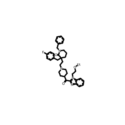 CCOCCn1c(C(=O)C2CCN(CCC3(Cc4ccc(F)cc4)CCCN(Cc4ccccc4)C3=O)CC2)nc2ccccc21